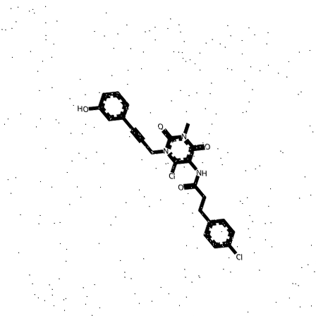 Cn1c(=O)c(NC(=O)CCc2ccc(Cl)cc2)c(Cl)n(CC#Cc2cccc(O)c2)c1=O